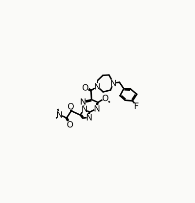 COc1nc2ncc(C(=O)C(=O)N(C)C)n2nc1C(=O)N1CCCN(Cc2ccc(F)cc2)CC1